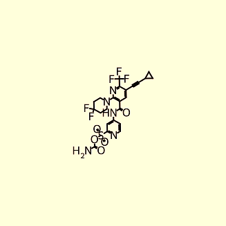 NC(=O)OS(=O)(=O)c1cc(NC(=O)c2cc(C#CC3CC3)c(C(F)(F)F)nc2N2CCC(F)(F)CC2)ccn1